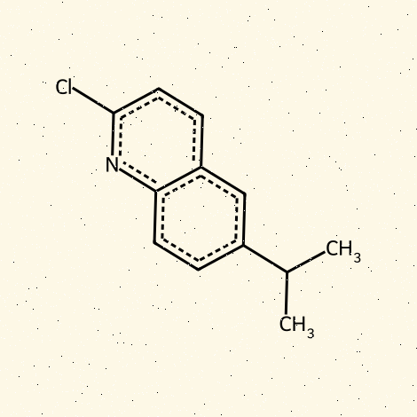 CC(C)c1ccc2nc(Cl)ccc2c1